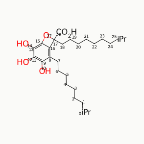 CC(C)CCCCCCCc1c(O)c(O)c(O)c2c1C(CCCCCCCC(C)C)(C(=O)O)O2